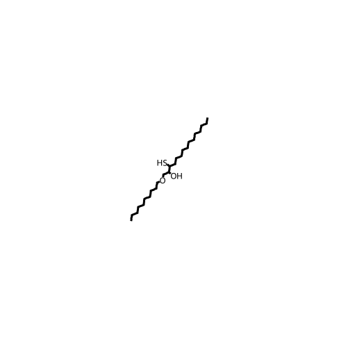 CCCCCCCCCCCCC(S)C(O)COCCCCCCCCCC